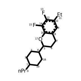 CCCC1CCC(C2CCc3cc(CC)c(F)c(F)c3O2)CC1